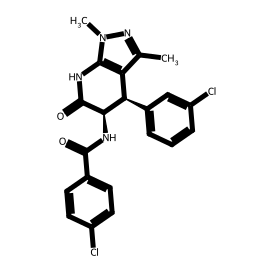 Cc1nn(C)c2c1[C@@H](c1cccc(Cl)c1)[C@@H](NC(=O)c1ccc(Cl)cc1)C(=O)N2